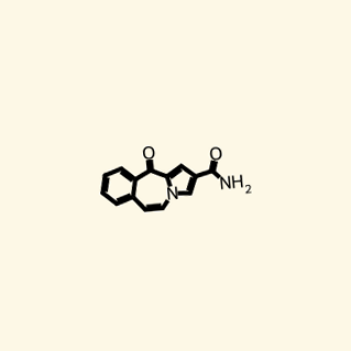 NC(=O)c1cc2c(=O)c3ccccc3ccn2c1